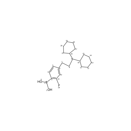 OB(O)c1ccc(CCC(C2CCCCC2)C2CCCCC2)cc1F